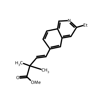 CCc1cc2cc(/C=C/C(C)(C)C(=O)OC)ccc2cn1